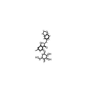 Cc1cc(O)c(C(=O)CCc2ccc3c(c2)CCO3)c(OC2CC(CO)C(F)C(O)C2O)c1